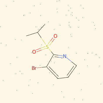 CC(C)S(=O)(=O)c1ncccc1Br